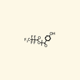 CC(C)(OC(=O)C(F)(F)C(F)(F)C(F)(F)F)C(=O)c1ccc(O)cc1